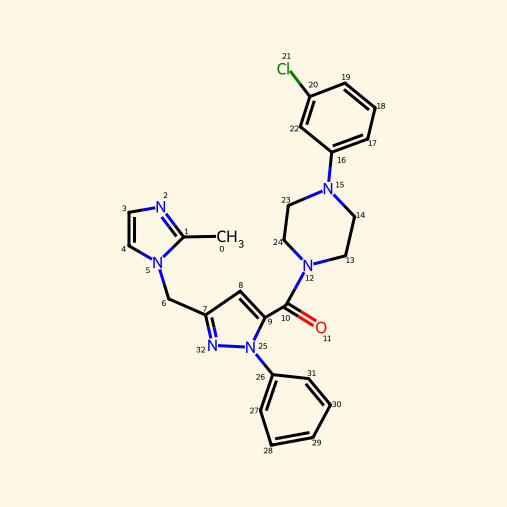 Cc1nccn1Cc1cc(C(=O)N2CCN(c3cccc(Cl)c3)CC2)n(-c2ccccc2)n1